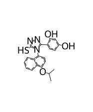 CC(C)Oc1ccc(-n2c(S)nnc2-c2ccc(O)cc2O)c2ccccc12